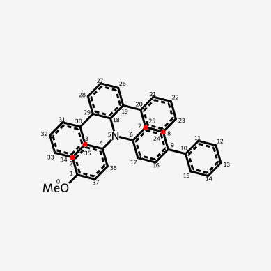 COc1ccc(N(c2ccc(-c3ccccc3)cc2)c2c(-c3ccccc3)cccc2-c2ccccc2)cc1